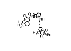 CC(C)(C)OC(=O)N1C[C@@H](CCCNc2cccc(SNC(=O)c3cc4c(nc3Cl)C(C)(C)CCC4)n2)CC1(C)C